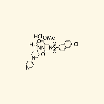 COC(=O)C1CN(S(=O)(=O)c2ccc3cc(Cl)ccc3c2)CC(=O)N1N(C)C1CCN(c2ccncc2)CC1.Cl